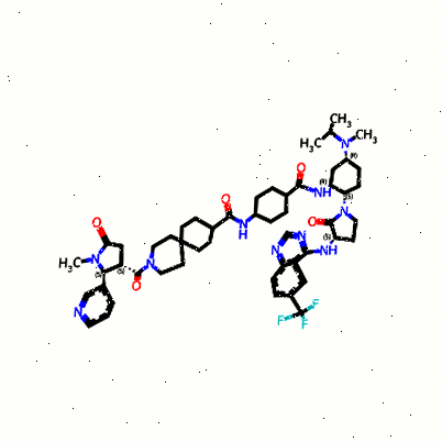 CC(C)N(C)[C@@H]1CC[C@H](N2CC[C@H](Nc3ncnc4ccc(C(F)(F)F)cc34)C2=O)[C@H](NC(=O)C2CCC(NC(=O)C3CCC4(CC3)CCN(C(=O)[C@H]3CC(=O)N(C)[C@@H]3c3cccnc3)CC4)CC2)C1